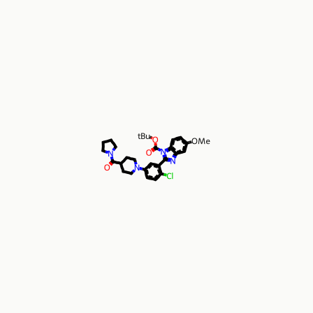 COc1ccc2c(c1)nc(-c1cc(N3CCC(C(=O)N4CCCC4)CC3)ccc1Cl)n2C(=O)OC(C)(C)C